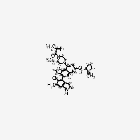 C=C(F)C(=O)N1CCN(c2nc(OC[C@@H]3CCCN3C)nc3cc(-c4c(Cl)c(C)cc5[nH]ncc45)c4ccoc4c23)C[C@@H]1CC#N